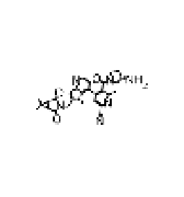 Cc1nc(C#N)cc(-c2ccnc3cc(CN4C(=O)C5C(C4=O)C5(C)C)sc23)c1C(=O)N1CC[C@@H](N)C1